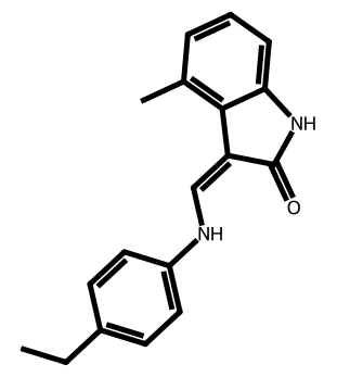 CCc1ccc(NC=C2C(=O)Nc3cccc(C)c32)cc1